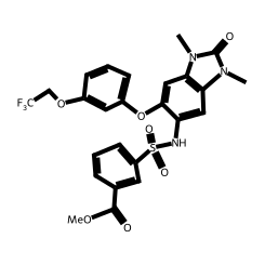 COC(=O)c1cccc(S(=O)(=O)Nc2cc3c(cc2Oc2cccc(OCC(F)(F)F)c2)n(C)c(=O)n3C)c1